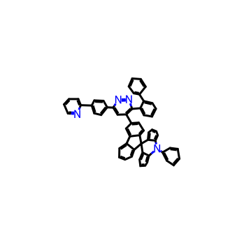 c1ccc(-c2ccccc2-c2nnc(-c3ccc(-c4ccccn4)cc3)cc2-c2ccc3c(c2)-c2ccccc2C32c3ccccc3N(c3ccccc3)c3ccccc32)cc1